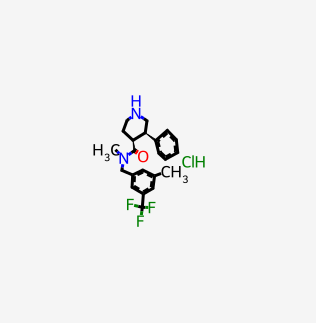 Cc1cc(CN(C)C(=O)[C@H]2CCNC[C@H]2c2ccccc2)cc(C(F)(F)F)c1.Cl